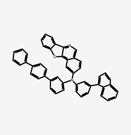 c1ccc(-c2ccc(-c3cccc(N(c4cccc(-c5cccc6ccccc56)c4)c4ccc5cnc6c7ccccc7oc6c5c4)c3)cc2)cc1